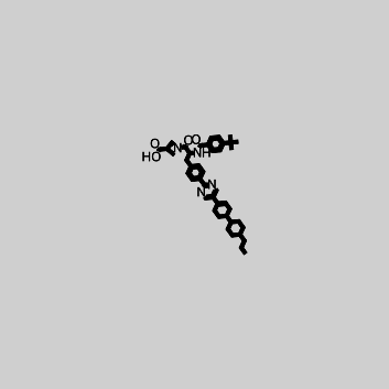 CCCC1CCC(C2CC=C(c3cnc(-c4ccc(CC(NC(=O)c5ccc(C(C)(C)C)cc5)C(=O)N5CC(C(=O)O)C5)cc4)nc3)CC2)CC1